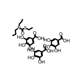 CCCN(CCC)C(=O)SCC.O=C(O)c1cc(O)c(O)c(O)c1.O=C(O)c1cc(O)c(O)c(O)c1.O=C(O)c1cc(O)c(O)c(O)c1